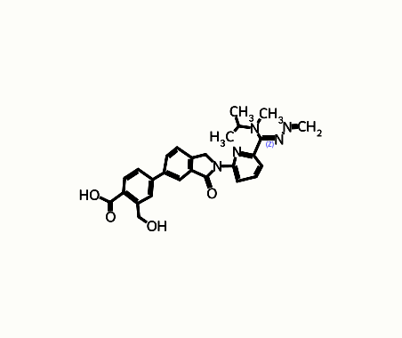 C=N/N=C(/c1cccc(N2Cc3ccc(-c4ccc(C(=O)O)c(CO)c4)cc3C2=O)n1)N(C)C(C)C